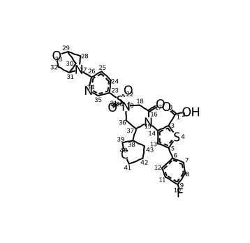 O=C(O)c1sc(-c2ccc(F)cc2)cc1N1C(=O)CN(S(=O)(=O)c2ccc(N3CC4CC3CO4)nc2)CC1C1CCCCC1